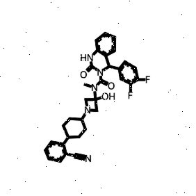 CN(C(=O)N1C(=O)Nc2ccccc2C1c1ccc(F)c(F)c1)C1(O)CN(C2CCC(c3ccccc3C#N)CC2)C1